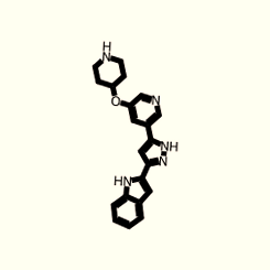 c1ccc2[nH]c(-c3cc(-c4cncc(OC5CCNCC5)c4)[nH]n3)cc2c1